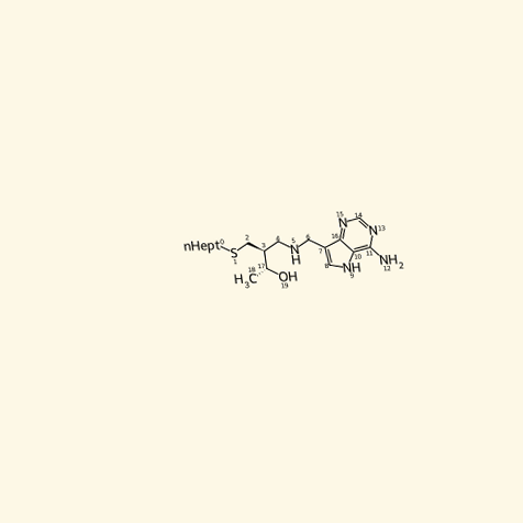 CCCCCCCSC[C@@H](CNCc1c[nH]c2c(N)ncnc12)[C@@H](C)O